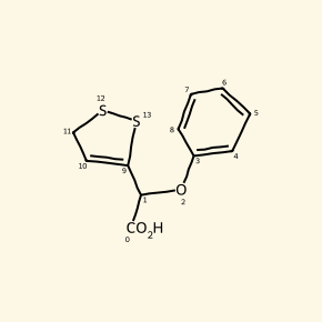 O=C(O)C(Oc1ccccc1)C1=CCSS1